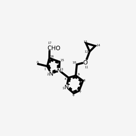 Cc1nn(-c2ncccc2COC2CC2)cc1C=O